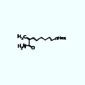 C=C(CCCCCCCCCCCC)C(N)=O